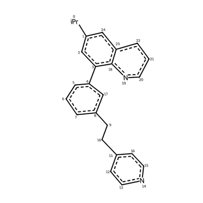 CC(C)c1cc(-c2cccc(CCc3ccncc3)c2)c2ncccc2c1